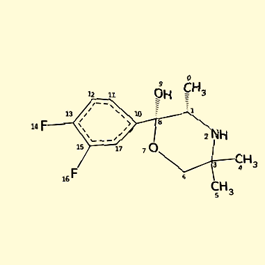 C[C@@H]1NC(C)(C)CO[C@@]1(O)c1ccc(F)c(F)c1